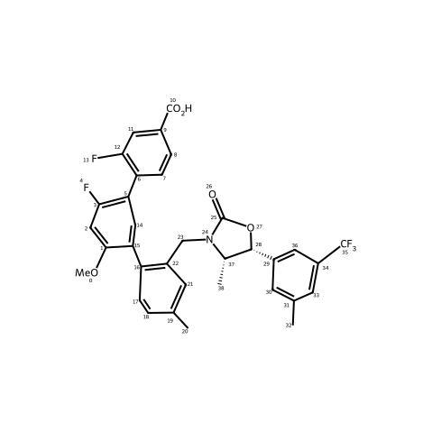 COc1cc(F)c(-c2ccc(C(=O)O)cc2F)cc1-c1ccc(C)cc1CN1C(=O)O[C@H](c2cc(C)cc(C(F)(F)F)c2)[C@@H]1C